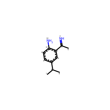 CC(=N)c1cc(C(C)C)ccc1N